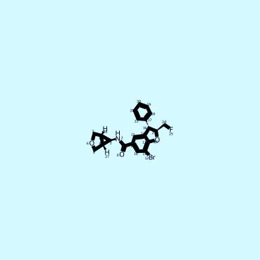 O=C(N[C@H]1[C@@H]2COC[C@@H]21)c1cc(Br)c2c(c1)[C@H](c1ccccc1)[C@@H](CF)O2